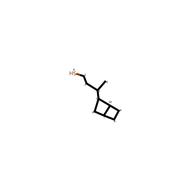 CC(CCS)C1CC2CCC21